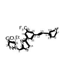 CCOC(=O)c1cnn(Cc2nc(-c3cc(C#Cc4cccnc4)cc(C(F)(F)F)c3)cs2)c1